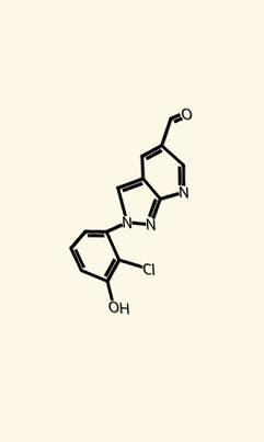 O=Cc1cnc2nn(-c3cccc(O)c3Cl)cc2c1